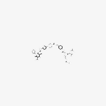 CC(=O)c1c(C)c2cnc(Nc3ccc(N4CCN(C(=O)OCc5ccc(NC(=O)[C@H](CCCNC(N)=O)NC(=O)[C@@H](NC(C)C)C(C)C)cc5)CC4)cn3)nc2n(C2CCCC2)c1=O